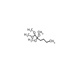 CCCCC(OC)(OC)C(OC)OC